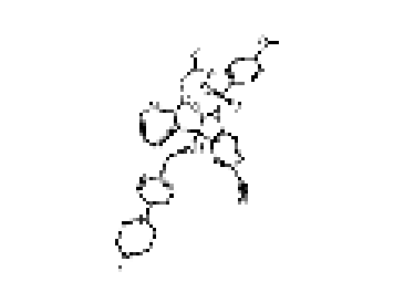 COc1ccc(S(=O)(=O)N2C(=O)C(NCc3ccc(N4CCN(C)CC4)cc3)(c3cccnc3OCC(F)F)c3cc(C#N)ccc32)cc1